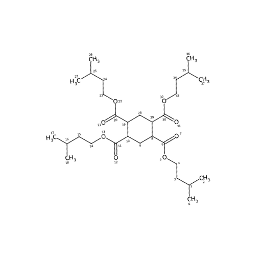 CC(C)CCOC(=O)C1CC(C(=O)OCCC(C)C)C(C(=O)OCCC(C)C)CC1C(=O)OCCC(C)C